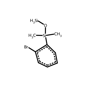 C[Si](C)(O[SiH3])c1ccccc1Br